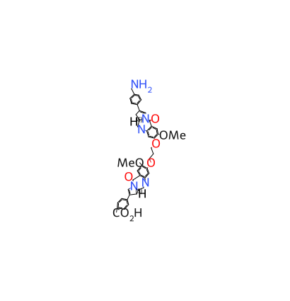 COc1cc2c(cc1OCCCOc1cc3c(cc1OC)C(=O)N1C=C(c4ccc(C(=O)O)cc4)C[C@H]1C=N3)N=C[C@@H]1CC(c3ccc(CN)cc3)=CN1C2=O